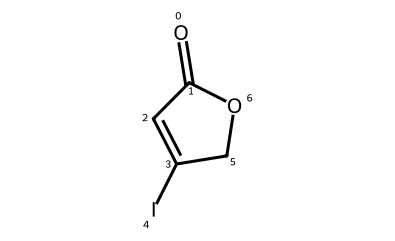 O=C1C=C(I)CO1